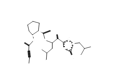 CC#CC(=O)N[C@H]1CCCC[C@H]1C(=O)NC(CC(C)C)C(=O)c1nn(CC(C)C)c(=O)o1